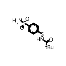 CC(C)(C)C(=O)NSc1ccc(S(N)(=O)=O)cc1